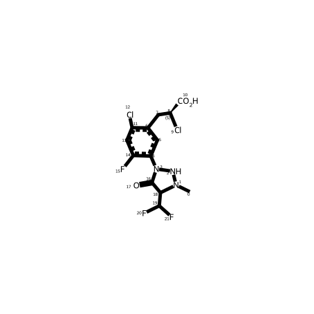 CN1NN(c2cc(C[C@H](Cl)C(=O)O)c(Cl)cc2F)C(=O)C1C(F)F